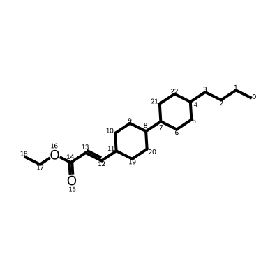 CCCCC1CCC(C2CCC(/C=C/C(=O)OCC)CC2)CC1